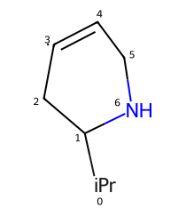 CC(C)C1C[C]=CCN1